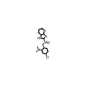 CN(C)c1cc(Cl)ccc1C[S+]([O-])c1nc2ncccc2[nH]1